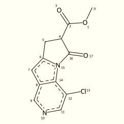 COC(=O)C1Cc2cc3cncc(Cl)c3n2C1=O